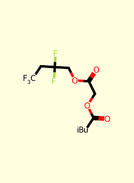 CCC(C)C(=O)OCC(=O)OCC(F)(F)CC(F)(F)F